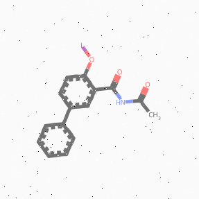 CC(=O)NC(=O)c1cc(-c2ccccc2)ccc1OI